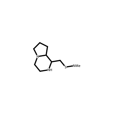 CNSCC1NCCN2CCCC12